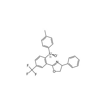 Cc1ccc([S@@+]([O-])c2ccc(C(F)(F)F)cc2C2=NC(c3ccccc3)CO2)cc1